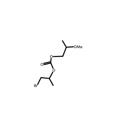 COC(C)COC(=O)OC(C)CBr